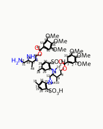 COc1cc(C(=O)OCCC(C)C(CN(C)c2cc(C)ccc2S(=O)(=O)O)N(C)c2cc(C)ccc2S(=O)(=O)O)cc(OC)c1OC.COc1cc(C(=O)OCCC(C)C(N)CN)cc(OC)c1OC